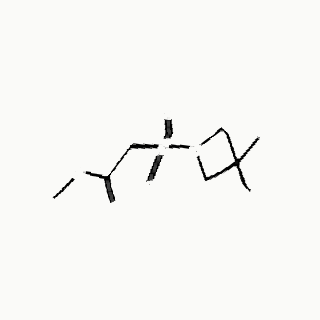 COC(=O)CS(=O)(=O)N1CC(F)(F)C1